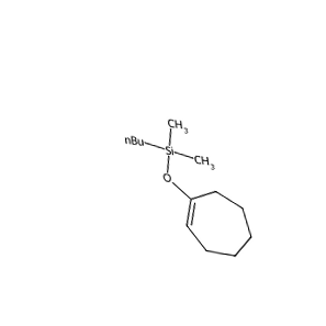 CCCC[Si](C)(C)OC1=CCCCCC1